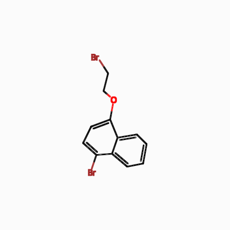 BrCCOc1ccc(Br)c2ccccc12